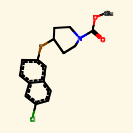 CC(C)(C)OC(=O)N1CCC(Sc2ccc3cc(Cl)ccc3c2)CC1